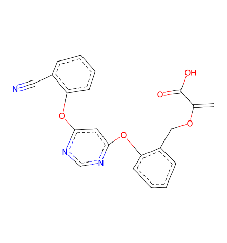 C=C(OCc1ccccc1Oc1cc(Oc2ccccc2C#N)ncn1)C(=O)O